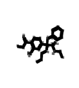 CCCSC(Oc1ccccc1)(C(=O)OCC)c1ccc(C(=O)CC)c(O)c1